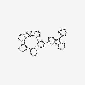 O=S1(=O)c2ccccc2-c2ccccc2-c2ccccc2-c2ccc(-c3ccc4c(c3)c3cccnc3n4-c3ccccn3)cc2-c2ccccc21